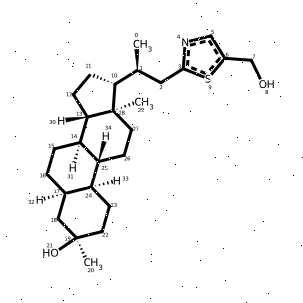 C[C@@H](Cc1ncc(CO)s1)[C@H]1CC[C@H]2[C@@H]3CC[C@@H]4C[C@](C)(O)CC[C@@H]4[C@H]3CC[C@]12C